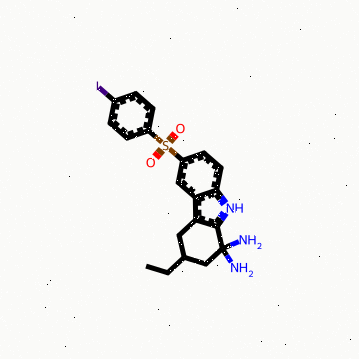 CCC1Cc2c([nH]c3ccc(S(=O)(=O)c4ccc(I)cc4)cc23)C(N)(N)C1